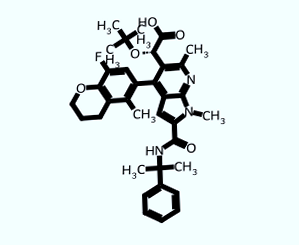 Cc1nc2c(cc(C(=O)NC(C)(C)c3ccccc3)n2C)c(-c2cc(F)c3c(c2C)CCCO3)c1[C@H](OC(C)(C)C)C(=O)O